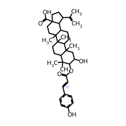 C=C(C)C1CCC2(C(=O)O)CCC3(C)C(CCC4C5(C)CC(O)C(OC(=O)/C=C/c6ccc(O)cc6)C(C)(C)C5CCC43C)C12